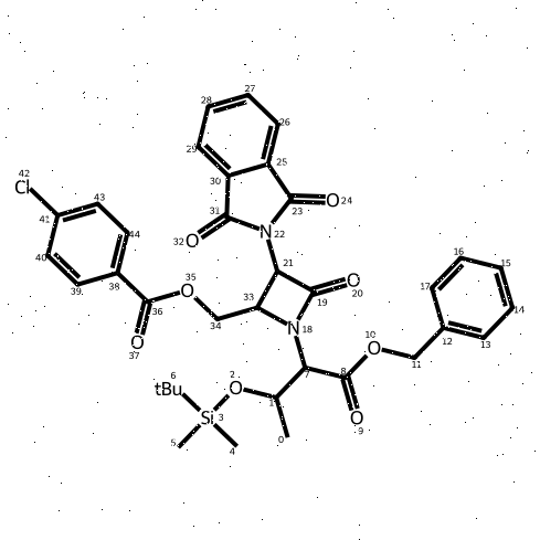 CC(O[Si](C)(C)C(C)(C)C)C(C(=O)OCc1ccccc1)N1C(=O)C(N2C(=O)c3ccccc3C2=O)C1COC(=O)c1ccc(Cl)cc1